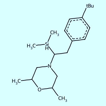 CC1CN(C(Cc2ccc(C(C)(C)C)cc2)[SiH](C)C)CC(C)O1